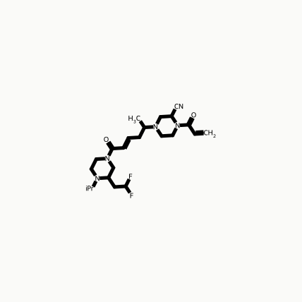 C=CC(=O)N1CCN(C(C)C/C=C/C(=O)N2CCN(C(C)C)C(CC(F)F)C2)CC1C#N